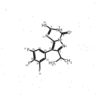 CC(C)c1nn2c(=O)[nH]c(S)nc2c1-c1cc(F)c(F)c(F)c1